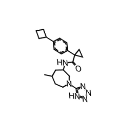 CC1CCN(c2nnn[nH]2)CC(NC(=O)C2(c3ccc(C4CCC4)cc3)CC2)C1